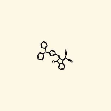 N#CC(C#N)=C1/C(=C/c2ccc(N(c3ccccc3)c3ccccc3)cc2)C(=O)c2ccccc21